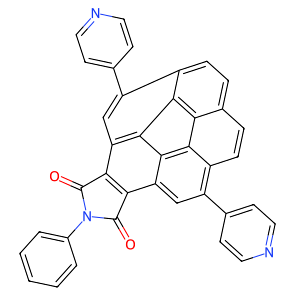 O=c1c2c3cc(-c4ccncc4)c4ccc5ccc6c(-c7ccncc7)cc(c2c(=O)n1-c1ccccc1)c1c6c5c4c31